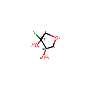 O[C@@H]1CO[CH][C@@]1(O)F